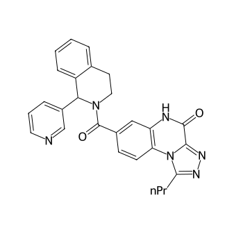 CCCc1nnc2c(=O)[nH]c3cc(C(=O)N4CCc5ccccc5C4c4cccnc4)ccc3n12